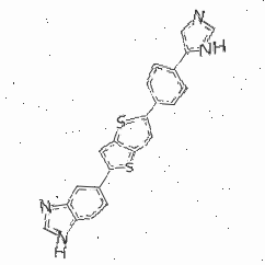 c1ncc(-c2ccc(-c3cc4sc(-c5ccc6[nH]cnc6c5)cc4s3)cc2)[nH]1